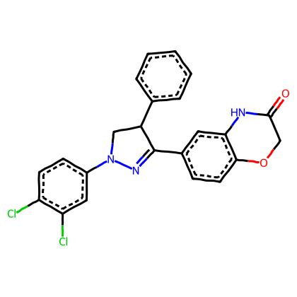 O=C1COc2ccc(C3=NN(c4ccc(Cl)c(Cl)c4)CC3c3ccccc3)cc2N1